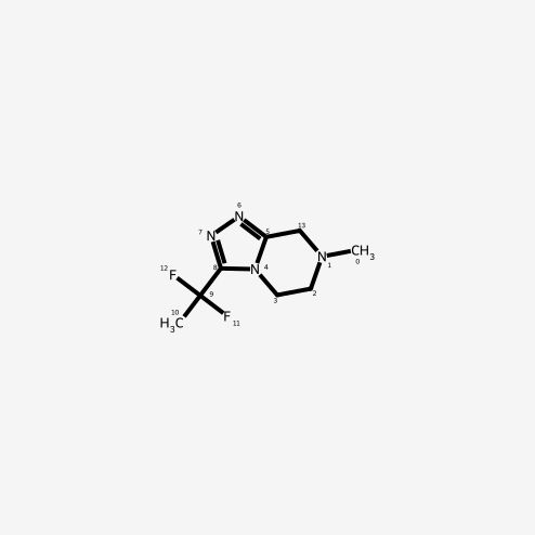 CN1CCn2c(nnc2C(C)(F)F)C1